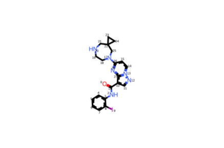 O=C(Nc1ccccc1I)c1cnn2ccc(N3CCNCC4(CC4)C3)nc12